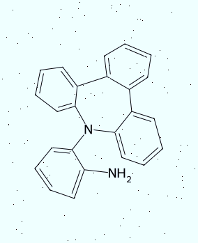 Nc1ccccc1N1c2ccccc2-c2ccccc2-c2ccccc21